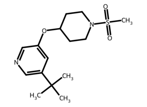 CC(C)(C)c1cncc(OC2CCN(S(C)(=O)=O)CC2)c1